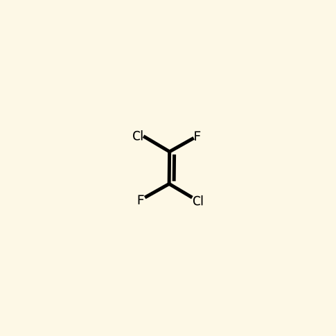 FC(Cl)=C(F)Cl